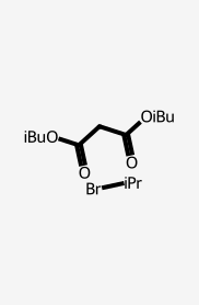 CC(C)Br.CC(C)COC(=O)CC(=O)OCC(C)C